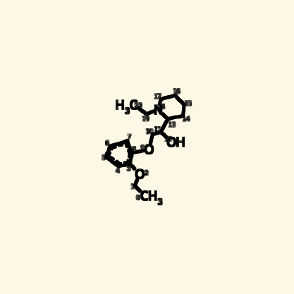 CCOc1ccccc1OCC(O)C1CCCCN1CC